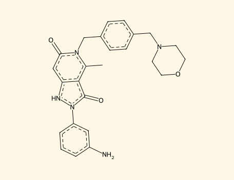 Cc1c2c(=O)n(-c3cccc(N)c3)[nH]c2cc(=O)n1Cc1ccc(CN2CCOCC2)cc1